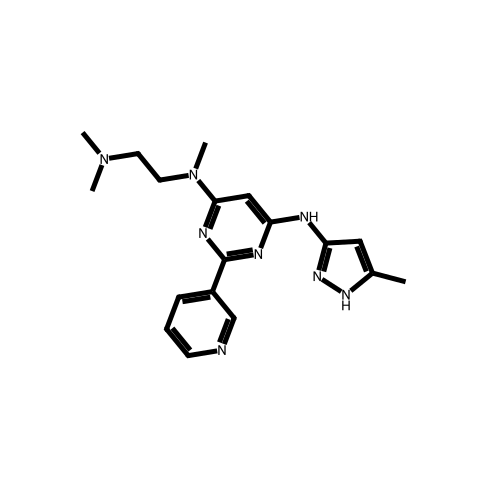 Cc1cc(Nc2cc(N(C)CCN(C)C)nc(-c3cccnc3)n2)n[nH]1